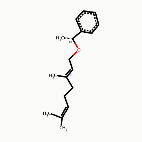 CC(C)=CCC/C(C)=C/CO[C@H](C)c1ccccc1